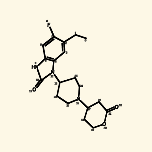 CCc1cc2c(cc1F)[nH]c(=O)n2C1CCN(C2CCOC(=O)C2)CC1